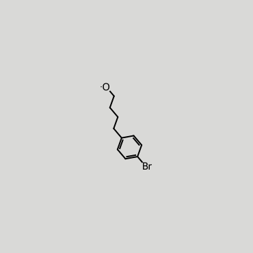 [O]CCCCc1ccc(Br)cc1